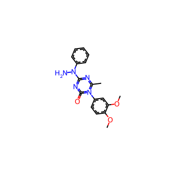 COc1ccc(-n2c(C)nc(N(N)c3ccccc3)nc2=O)cc1OC